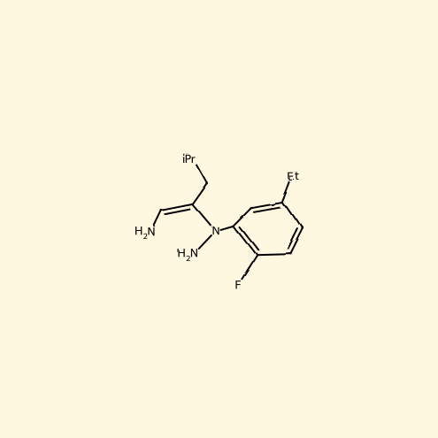 CCc1ccc(F)c(N(N)/C(=C\N)CC(C)C)c1